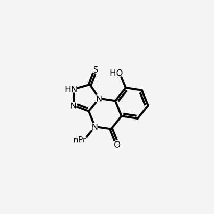 CCCn1c(=O)c2cccc(O)c2n2c(=S)[nH]nc12